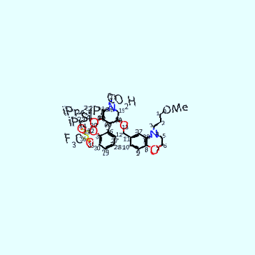 COCCCN1CCOc2ccc(CO[C@@H]3CN(C(=O)O)C[C@H](O[Si](C(C)C)(C(C)C)C(C)C)[C@@H]3c3ccccc3OS(=O)(=O)C(F)(F)F)cc21